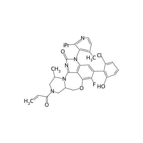 C=CC(=O)N1CC(C)N2c3nc(=O)n(-c4c(C)ccnc4C(C)C)c4cc(-c5c(O)cccc5Cl)c(F)c(c34)OCC2C1